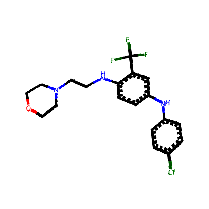 FC(F)(F)c1cc(Nc2ccc(Cl)cc2)ccc1NCCN1CCOCC1